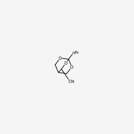 CCCC12OCC(CO1)C(C#N)O2